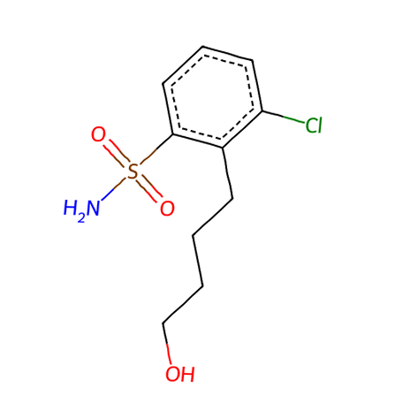 NS(=O)(=O)c1cccc(Cl)c1CCCCO